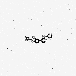 CC1C[C@@](C)(COc2ccc(-c3ccnc(NC4CCCOC4)c3)cc2Cl)N1